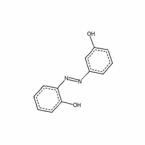 Oc1cccc(N=Nc2ccccc2O)c1